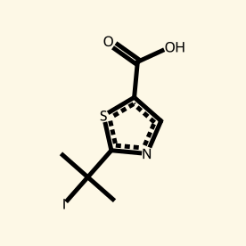 CC(C)(I)c1ncc(C(=O)O)s1